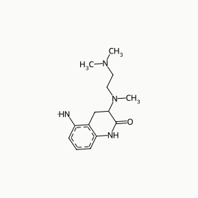 CN(C)CCN(C)C1Cc2c([NH])cccc2NC1=O